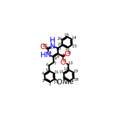 COc1cccc(CCC2=C(C(=O)OCc3ccccc3)C(c3ccccc3)NC(=O)N2)c1